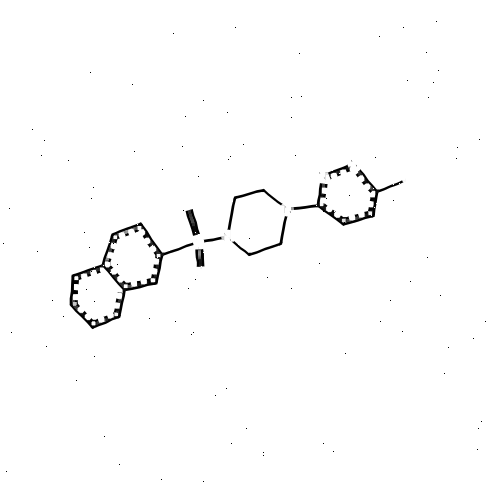 O=S(=O)(c1ccc2ccccc2c1)N1CCN(c2ccc(Cl)nn2)CC1